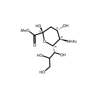 COC(=O)[C@]1(O)C[C@H](O)[C@@H](NC(C)=O)[C@H](C(O)C(O)CO)O1